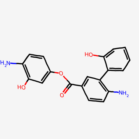 Nc1ccc(OC(=O)c2ccc(N)c(-c3ccccc3O)c2)cc1O